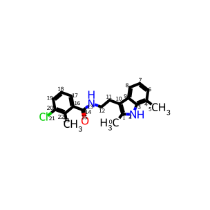 Cc1[nH]c2c(C)cccc2c1CCNC(=O)c1cccc(Cl)c1C